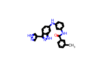 Cc1cccc(C(=O)Nc2cccc(Nc3ccc4c(-c5cn[nH]c5)n[nH]c4c3)c2)c1